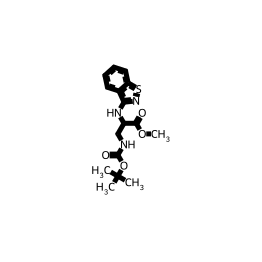 COC(=O)C(CNC(=O)OC(C)(C)C)Nc1nsc2ccccc12